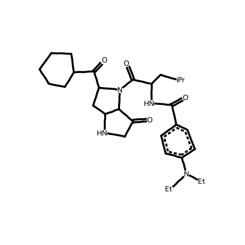 CCN(CC)c1ccc(C(=O)NC(CC(C)C)C(=O)N2C(C(=O)C3CCCCC3)CC3NCC(=O)C32)cc1